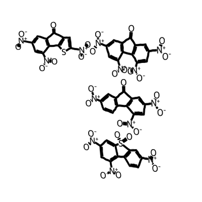 O=C1c2cc([N+](=O)[O-])cc([N+](=O)[O-])c2-c2c1cc([N+](=O)[O-])cc2[N+](=O)[O-].O=C1c2cc([N+](=O)[O-])ccc2-c2c1cc([N+](=O)[O-])cc2[N+](=O)[O-].O=C1c2cc([N+](=O)[O-])sc2-c2c1cc([N+](=O)[O-])cc2[N+](=O)[O-].O=[N+]([O-])c1ccc2c(c1)S(=O)(=O)c1cc([N+](=O)[O-])cc([N+](=O)[O-])c1-2